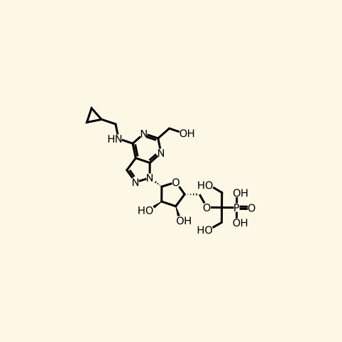 O=P(O)(O)C(CO)(CO)OC[C@H]1O[C@@H](n2ncc3c(NCC4CC4)nc(CO)nc32)[C@H](O)[C@@H]1O